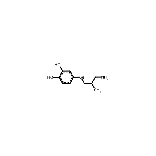 CC(CN)C[Se]c1ccc(O)c(O)c1